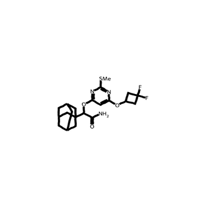 CSc1nc(OC2CC(F)(F)C2)cc(OC(C(N)=O)C23CC4CC(CC(C4)C2)C3)n1